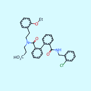 CCOc1ccccc1CCN(CCC(=O)O)C(=O)c1ccccc1-c1ccccc1C(=O)NCc1ccccc1Cl